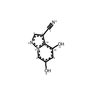 N#Cc1cnn2cc(O)cc(O)c12